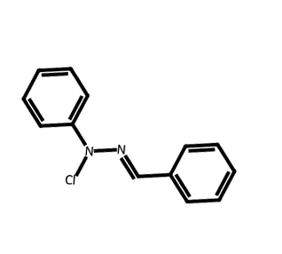 ClN(/N=C/c1ccccc1)c1ccccc1